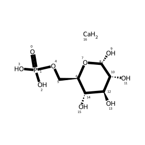 O=P(O)(O)OC[C@H]1O[C@H](O)[C@H](O)[C@@H](O)[C@@H]1O.[CaH2]